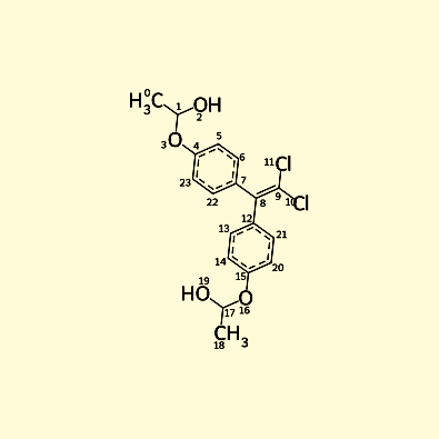 CC(O)Oc1ccc(C(=C(Cl)Cl)c2ccc(OC(C)O)cc2)cc1